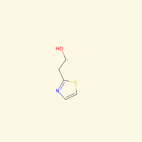 O[CH]Cc1nccs1